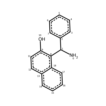 NC(c1ccccc1)c1c(O)ccc2ccccc12